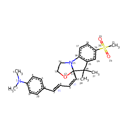 CN(C)c1ccc(/C=C/C=C\C23OCCN2c2ccc(S(C)(=O)=O)cc2C3(C)C)cc1